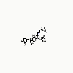 CN(C)C/C=C/C(=O)Nc1cc2c(Nc3ccc(F)c(Cl)c3)ncnc2cc1OC[C@@]12COC[C@@H]1C2